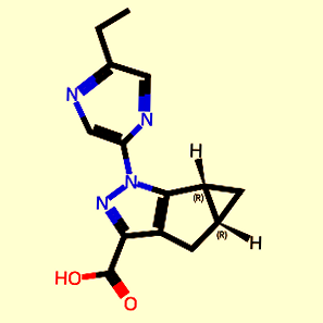 CCc1cnc(-n2nc(C(=O)O)c3c2[C@@H]2C[C@@H]2C3)cn1